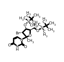 CC(C)(C)[Si](C)(C)OC[C@H]1O[C@@](C)(n2ccc(=O)[nH]c2=O)[C@H](Br)[C@@H]1O[Si](C)(C)C(C)(C)C